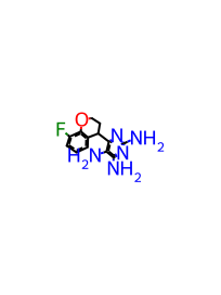 Nc1nc(N)c(N)c(C2CCOc3c(F)cccc32)n1